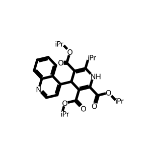 CC(C)OC(=O)C1=C(C(=O)OC(C)C)C(c2ccnc3ccccc23)C(C(=O)OC(C)C)=C(C(C)C)N1